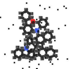 c1ccc(N(c2cc3c(c4ccccc24)-c2c(ccc4ccccc24)C32c3ccccc3-n3c4ccccc4c4cccc2c43)c2cccc3c2oc2ccccc23)cc1